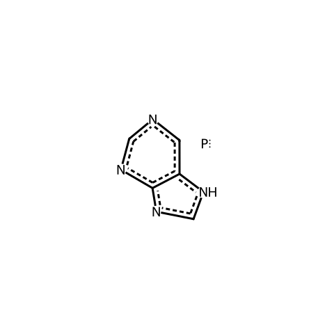 [P].c1ncc2[nH]cnc2n1